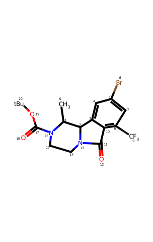 CC1C2c3cc(Br)cc(C(F)(F)F)c3C(=O)N2CCN1C(=O)OC(C)(C)C